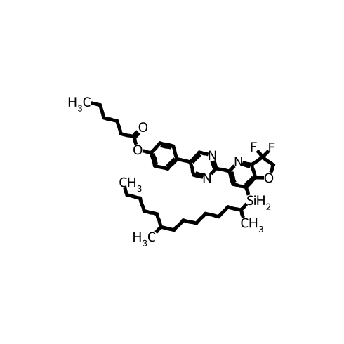 CCCCCC(=O)Oc1ccc(-c2cnc(-c3cc([SiH2]C(C)CCCCCCC(C)CCCCC)c4c(n3)C(F)(F)CO4)nc2)cc1